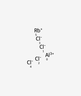 [Al+3].[Cl-].[Cl-].[Cl-].[Cl-].[Rb+]